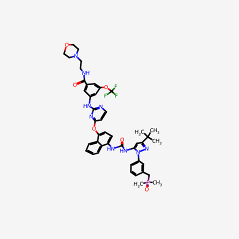 CC(C)(C)c1cc(NC(=O)Nc2ccc(Oc3ccnc(Nc4cc(OC(F)(F)F)cc(C(=O)NCCN5CCOCC5)c4)n3)c3ccccc23)n(-c2cccc(CP(C)(C)=O)c2)n1